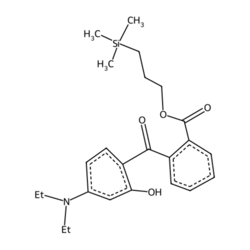 CCN(CC)c1ccc(C(=O)c2ccccc2C(=O)OCCC[Si](C)(C)C)c(O)c1